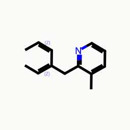 C/C=C\C(=C/C)Cc1ncccc1C